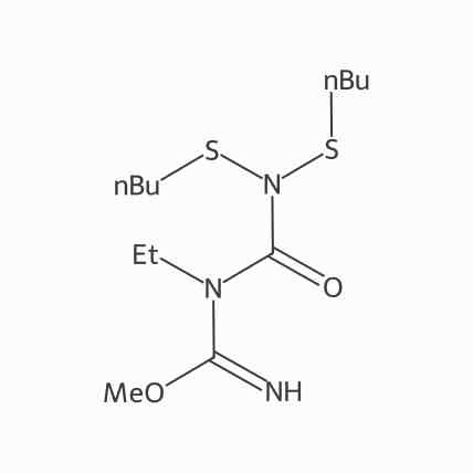 CCCCSN(SCCCC)C(=O)N(CC)C(=N)OC